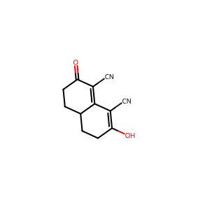 N#CC1=C(O)CCC2CCC(=O)C(C#N)=C12